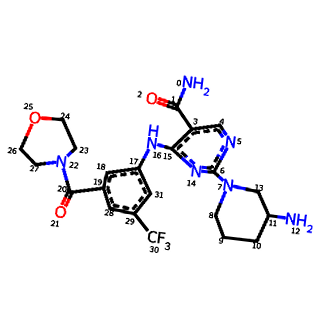 NC(=O)c1cnc(N2CCCC(N)C2)nc1Nc1cc(C(=O)N2CCOCC2)cc(C(F)(F)F)c1